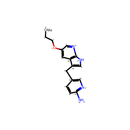 COCCOc1cnc2[nH]cc(Cc3ccc(N)nc3)c2c1